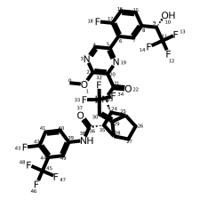 COc1ncc(-c2cc([C@H](O)C(F)(F)F)ccc2F)nc1C(=O)N[C@@H]1C2CCC(/C2=C/C(F)(F)F)[C@@H]1C(=O)Nc1ccc(F)c(C(F)(F)F)c1